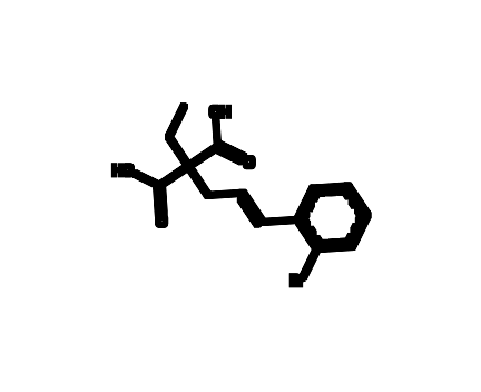 CCC(CC=Cc1ccccc1Br)(C(=O)O)C(=O)O